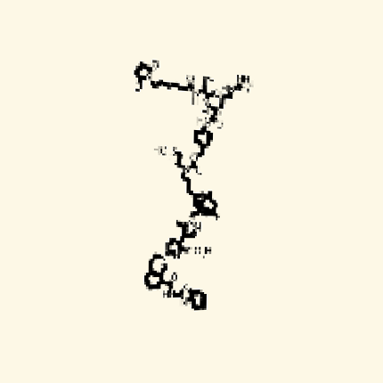 Cc1c(-c2ccc(N3CCc4cccc(C(=O)Nc5nc6ccccc6s5)c4C3)nc2C(=O)O)cnn1CC12CC3(C)CC(C)(CC(CCCN(CCS(=O)(=O)O)C(=O)OCc4ccc(NC(=O)[C@H](CCCNC(N)=O)NC(=O)C(NC(=O)CCCCCN5C(=O)C=CC5=O)C(C)C)cc4)(C3)C1)C2